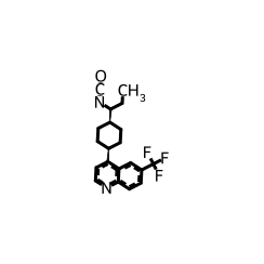 CCC(N=C=O)[C@H]1CC[C@@H](c2ccnc3ccc(C(F)(F)F)cc32)CC1